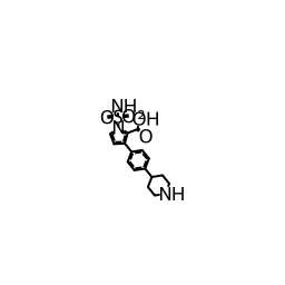 NS(=O)(=O)n1ccc(-c2ccc(C3CCNCC3)cc2)c1C(=O)O